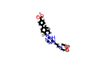 COC(=O)c1ccc(C2=CC[C@]3(C)CN(c4ncnc(NCCCN5CCS(=O)(=O)CC5)n4)CC=C3C2(C)C)cc1